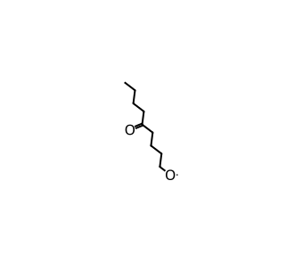 CCCCC(=O)CCCC[O]